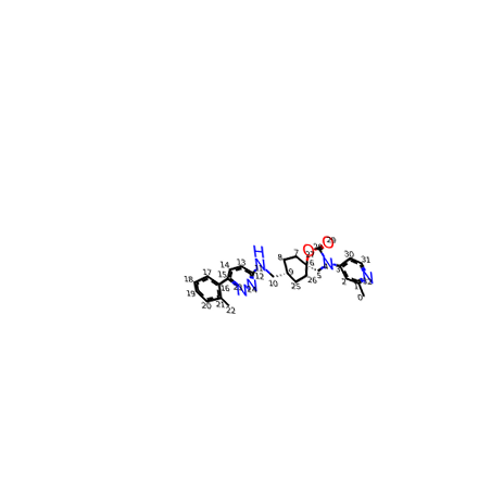 Cc1cc(N2C[C@]3(CC[C@@H](CNc4ccc(-c5ccccc5C)nn4)CC3)OC2=O)ccn1